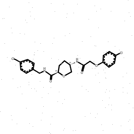 O=C(COc1ccc(Cl)cc1)N[C@H]1CC[C@H](C(=O)NCc2ccc(Cl)cc2)OC1